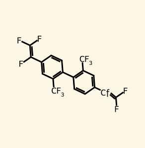 F[C](F)=[Cf][c]1ccc(-c2ccc(C(F)=C(F)F)cc2C(F)(F)F)c(C(F)(F)F)c1